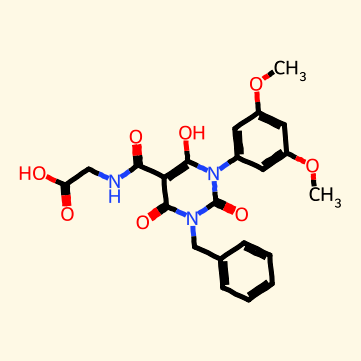 COc1cc(OC)cc(-n2c(O)c(C(=O)NCC(=O)O)c(=O)n(Cc3ccccc3)c2=O)c1